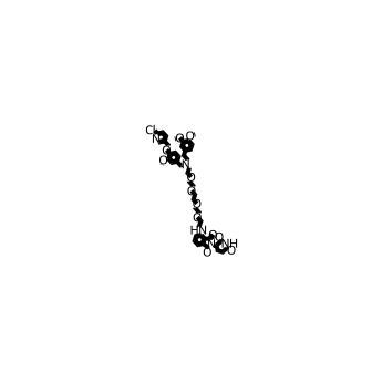 COc1ccc(CCN(CCOCCOCCOCCOCCNc2cccc3c2C(=O)N(C2CCC(=O)NC2=O)C3=O)Cc2ccc(OCc3ccc(Cl)nc3)c(OC)c2)cc1OC